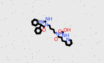 N=C1NC(c2ccccc2)(c2ccccc2)C(=O)N1CCCCNC(=O)C(Cc1ccccn1)NC(=O)O